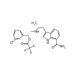 C[C@H](Cc1c[nH]c2c(C(N)=O)cccc12)NC[C@H](OC(=O)C(F)(F)F)c1cccc(Cl)c1